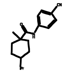 CC(C)C1CCC(C)(C(=O)Nc2ccc(C#N)cc2)CC1